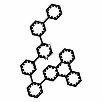 c1ccc(-c2cccc(-c3cc(-c4cccc(-c5ccccc5-c5ccc6c7ccccc7c7ccccc7c6c5)c4)ncn3)c2)cc1